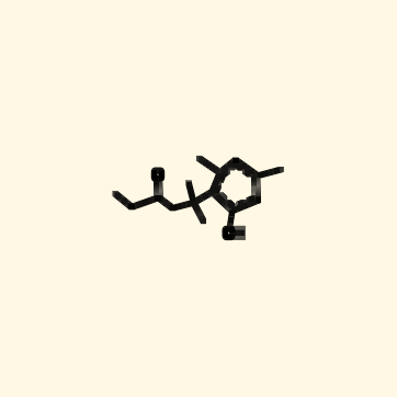 CCC(=O)CC(C)(C)c1c(C)cc(C)cc1O